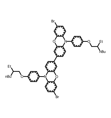 CCCCC(CC)COc1ccc(N2c3ccc(Br)cc3Oc3cc(-c4ccc5c(c4)Oc4cc(Br)ccc4N5c4ccc(OCC(CC)CCCC)cc4)ccc32)cc1